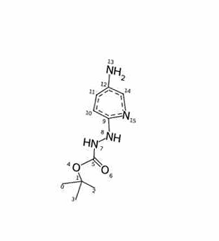 CC(C)(C)OC(=O)NNc1ccc(N)cn1